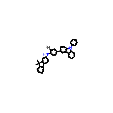 [2H]c1cc(-c2ccc3c(c2)c2ccccc2n3-c2ccccc2)ccc1Nc1ccc2c(c1)C(C)(C)c1ccccc1-2